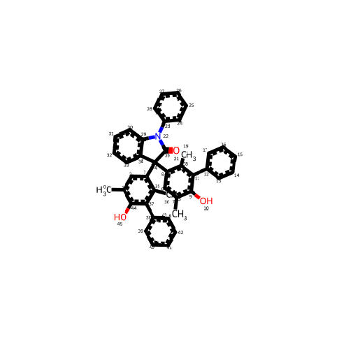 Cc1cc(C2(c3cc(C)c(O)c(-c4ccccc4)c3C)C(=O)N(c3ccccc3)c3ccccc32)c(C)c(-c2ccccc2)c1O